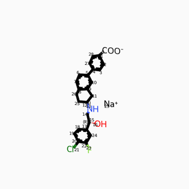 O=C([O-])c1ccc(-c2ccc3c(c2)C[C@@H](NC[C@H](O)c2ccc(Cl)c(F)c2)CC3)cc1.[Na+]